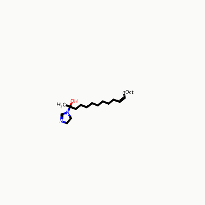 CCCCCCCC/C=C\CCCCCCCCC(C)(O)N1C=NCC1